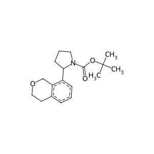 CC(C)(C)OC(=O)N1CCCC1c1cccc2c1COCC2